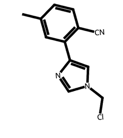 Cc1ccc(C#N)c(-c2cn(CCl)cn2)c1